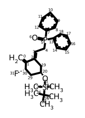 C=C1C(=CCP(=O)(c2ccccc2)c2ccccc2)C[C@@H](O[Si](C)(C)C(C)(C)C)C[C@@H]1F